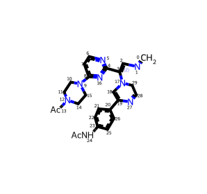 C=N/C=C(/c1nccc(N2CCN(C(C)=O)CC2)n1)N1C=C(c2ccc(NC(C)=O)cc2)N=CC1